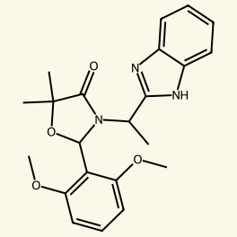 COc1cccc(OC)c1C1OC(C)(C)C(=O)N1C(C)c1nc2ccccc2[nH]1